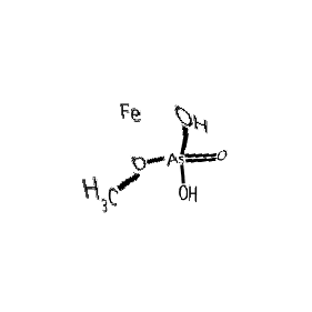 CO[As](=O)(O)O.[Fe]